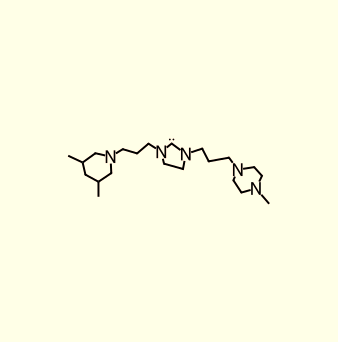 CC1CC(C)CN(CCCN2[C]N(CCCN3CCN(C)CC3)CC2)C1